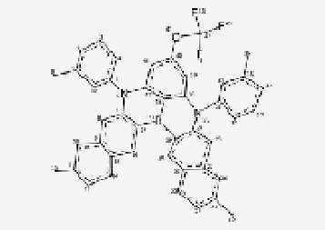 Cc1cccc(N2c3cc4cc(C)ccc4cc3B3c4cc5ccc(C)cc5cc4N(c4cccc(C)c4)c4cc(OC(F)(F)F)cc2c43)c1